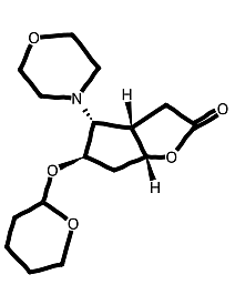 O=C1C[C@H]2[C@@H](N3CCOCC3)[C@H](OC3CCCCO3)C[C@H]2O1